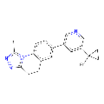 CCC1(c2cncc(-c3ccc4c(c3)CCc3nnc(C)n3-4)c2)CC1